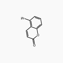 CC(C)c1cccc2oc(=O)ccc12